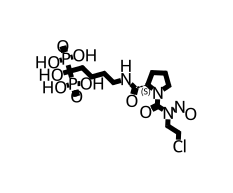 O=NN(CCCl)C(=O)N1CCC[C@H]1C(=O)NCCCCC(O)(P(=O)(O)O)P(=O)(O)O